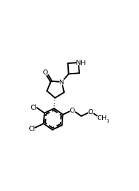 COCOc1ccc(Cl)c(Cl)c1[C@@H]1CC(=O)N(C2CNC2)C1